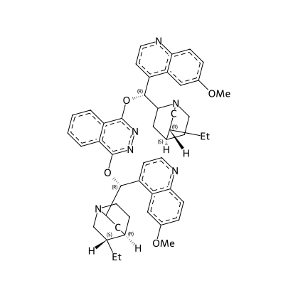 CC[C@@H]1CN2CC[C@@H]1CC2[C@H](Oc1nnc(O[C@H](c2ccnc3ccc(OC)cc23)C2C[C@@H]3CCN2C[C@@H]3CC)c2ccccc12)c1ccnc2ccc(OC)cc12